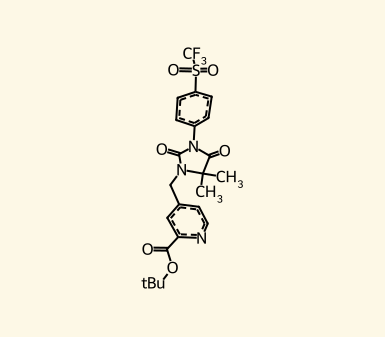 CC(C)(C)OC(=O)c1cc(CN2C(=O)N(c3ccc(S(=O)(=O)C(F)(F)F)cc3)C(=O)C2(C)C)ccn1